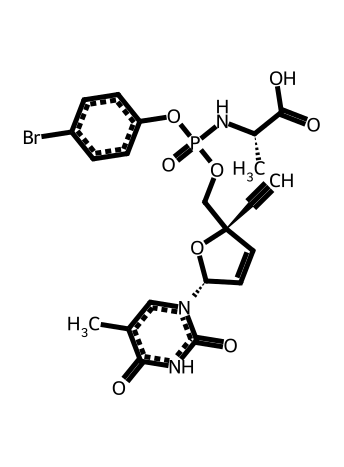 C#C[C@@]1(COP(=O)(N[C@@H](C)C(=O)O)Oc2ccc(Br)cc2)C=C[C@H](n2cc(C)c(=O)[nH]c2=O)O1